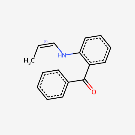 C/C=C\Nc1ccccc1C(=O)c1ccccc1